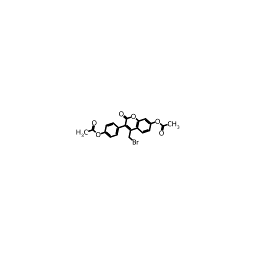 CC(=O)Oc1ccc(-c2c(CBr)c3ccc(OC(C)=O)cc3oc2=O)cc1